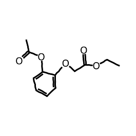 CCOC(=O)COc1ccccc1OC(C)=O